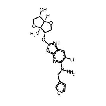 NN(Cc1ccoc1)c1nc2nc(O[C@@H]3CO[C@@H]4[C@H](O)CO[C@@]43N)[nH]c2cc1Cl